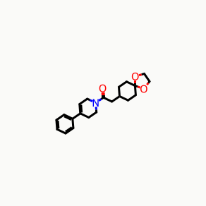 O=C(CC1CCC2(CC1)OCCO2)N1CC=C(c2ccccc2)CC1